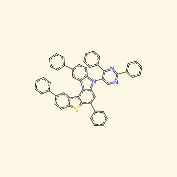 c1ccc(-c2ccc3sc4c(-c5ccccc5)cc5c(c6cc(-c7ccccc7)ccc6n5-c5cnc(-c6ccccc6)nc5-c5ccccc5)c4c3c2)cc1